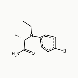 CCN(c1ccc(Cl)cc1)[C@@H](C)C(N)=O